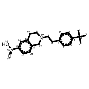 CC(C)(C)c1ccc(CCN2CCc3cc(S(=O)O)ccc3C2)cc1